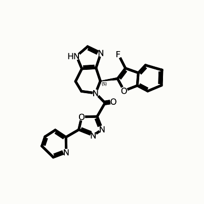 O=C(c1nnc(-c2ccccn2)o1)N1CCc2[nH]cnc2[C@H]1c1oc2ccccc2c1F